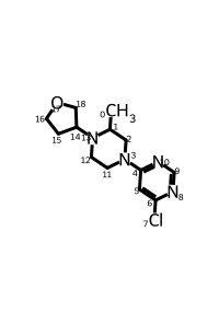 CC1CN(c2cc(Cl)ncn2)CCN1C1CCOC1